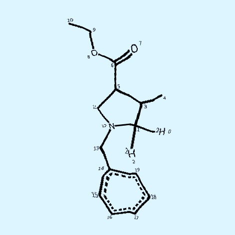 [2H]C1([2H])C(C)C(C(=O)OCC)CN1Cc1ccccc1